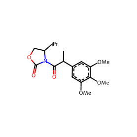 COc1cc(C(C)C(=O)N2C(=O)OCC2C(C)C)cc(OC)c1OC